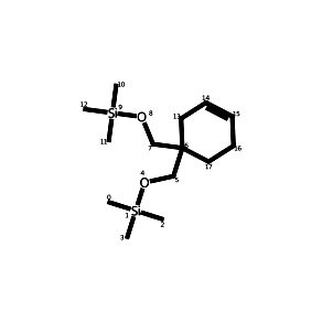 C[Si](C)(C)OCC1(CO[Si](C)(C)C)CC=CCC1